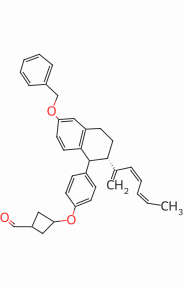 C=C(/C=C\C=C/C)[C@H]1CCc2cc(OCc3ccccc3)ccc2C1c1ccc(OC2CC(C=O)C2)cc1